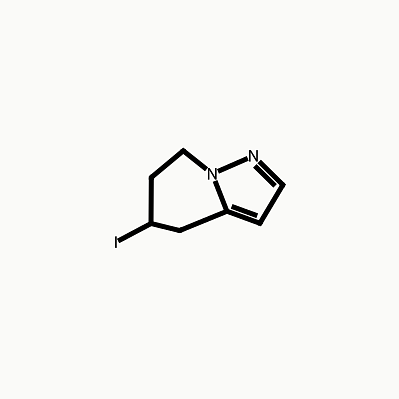 IC1CCn2nccc2C1